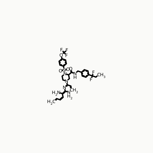 C=C\C=C/C(N)=C(N)/N=C(\C=C)N1CCN(S(=O)(=O)c2ccc(OC(F)(F)F)cc2)C(C(=O)NCc2ccc(C(F)(F)CC)cc2)C1